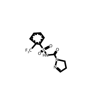 O=C(NS(=O)(=O)c1ccccc1C(F)(F)F)N1CCC=N1